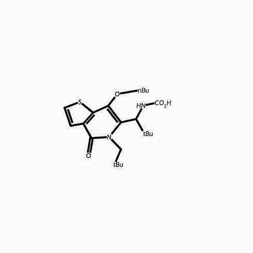 CCCCOc1c(C(NC(=O)O)C(C)(C)C)n(CC(C)(C)C)c(=O)c2ccsc12